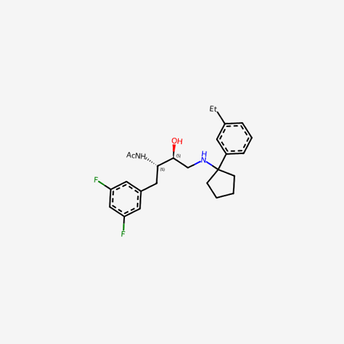 CCc1cccc(C2(NC[C@H](O)[C@H](Cc3cc(F)cc(F)c3)NC(C)=O)CCCC2)c1